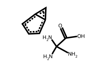 NC(N)(N)C(=O)O.c1cc2cc-2c1